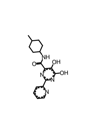 CC1CCC(NC(=O)c2nc(-c3ccccn3)nc(O)c2O)CC1